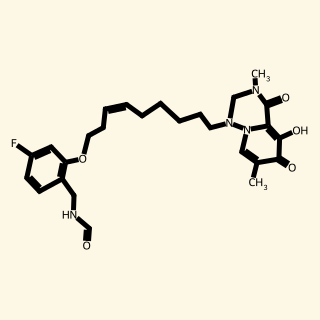 Cc1cn2c(c(O)c1=O)C(=O)N(C)CN2CCCCC/C=C\CCOc1cc(F)ccc1CNC=O